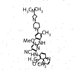 COc1cc(N2CCC(N3CC(N(C)C)C3)CC2)c(C)cc1Nc1ncc(C#N)c(Nc2ccc3nccnc3c2P(C)(C)=O)n1